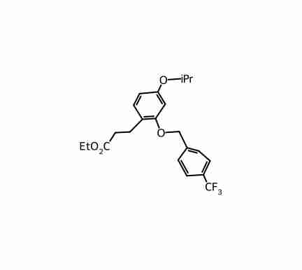 CCOC(=O)CCc1ccc(OC(C)C)cc1OCc1ccc(C(F)(F)F)cc1